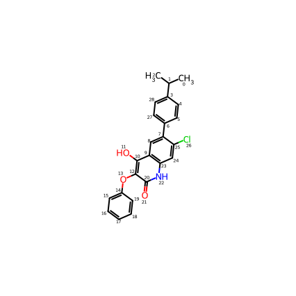 CC(C)c1ccc(-c2cc3c(O)c(Oc4ccccc4)c(=O)[nH]c3cc2Cl)cc1